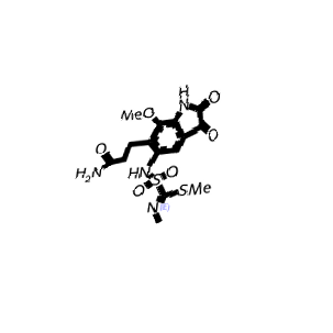 C/N=C(\SC)S(=O)(=O)Nc1cc2c(c(OC)c1CCC(N)=O)NC(=O)C2=O